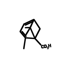 CC1=CC=C2CC1(C(=O)O)C2(C)C